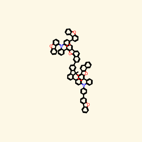 CC1(C)c2cc(-c3ccc4ccc5c6cccc(-c7ccccc7N(c7ccc(-c8cccc9oc%10ccccc%10c89)cc7)c7cccc8oc9ccccc9c78)c6oc5c4c3)ccc2-c2cccc(-c3ccc(N(c4ccc(-c5ccc6c(c5)oc5ccccc56)cc4)c4ccccc4-c4cccc5c4oc4c6ccccc6ccc54)cc3)c21